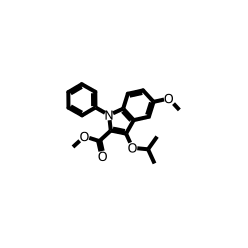 COC(=O)c1c(OC(C)C)c2cc(OC)ccc2n1-c1ccccc1